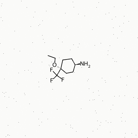 CCO[C@]1(C(F)(F)F)CC[C@@H](N)CC1